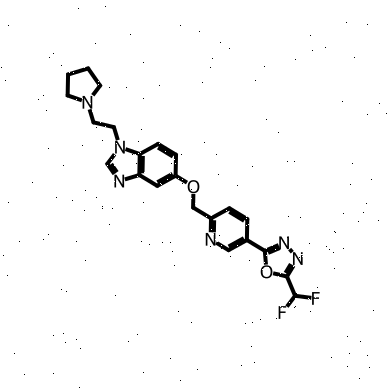 FC(F)c1nnc(-c2ccc(COc3ccc4c(c3)ncn4CCN3CCCC3)nc2)o1